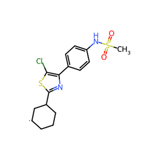 CS(=O)(=O)Nc1ccc(-c2nc(C3C[CH]CCC3)sc2Cl)cc1